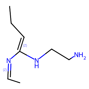 C/C=N\C(=C/CC)NCCN